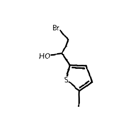 Cc1ccc(C(O)CBr)s1